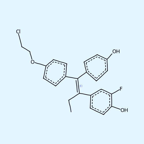 CC/C(=C(/c1ccc(O)cc1)c1ccc(OCCCl)cc1)c1ccc(O)c(F)c1